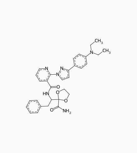 CCN(CC)c1ccc(-c2ccn(-c3ncccc3C(=O)NC(Cc3ccccc3)C3(C(N)=O)OCCO3)n2)cc1